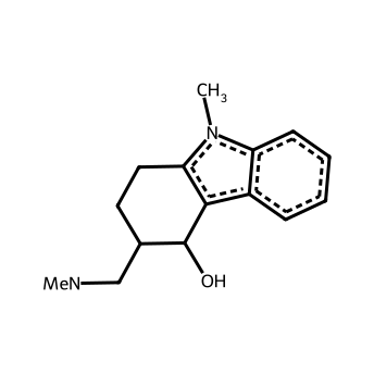 CNCC1CCc2c(c3ccccc3n2C)C1O